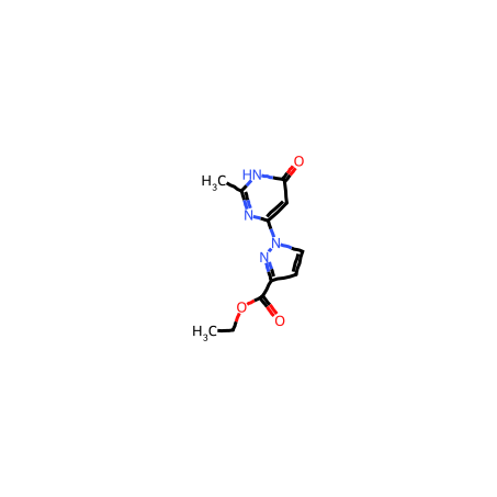 CCOC(=O)c1ccn(-c2cc(=O)[nH]c(C)n2)n1